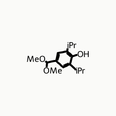 COC(OC)c1cc(C(C)C)c(O)c(C(C)C)c1